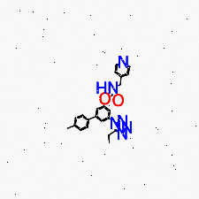 CCc1nnnn1-c1cc(OC(=O)NCc2ccncc2)cc(-c2ccc(C)cc2)c1